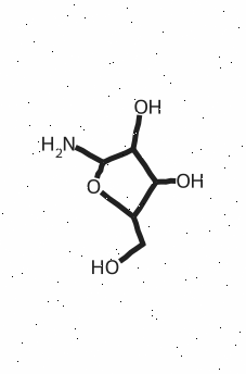 NC1OC(CO)C(O)C1O